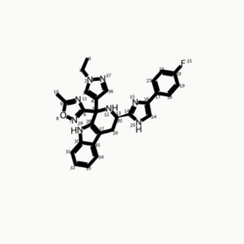 CCn1cc(C2(c3noc(C)n3)N[C@@H](c3nc(-c4ccc(F)cc4)c[nH]3)Cc3c2[nH]c2ccccc32)cn1